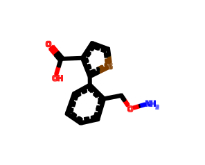 NOCc1ccccc1-c1sccc1C(=O)O